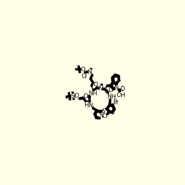 CN(CCCC[C@@H]1NC(=O)[C@H](CCCO[Si](C)(C)C(C)(C)C)NCc2cccnc2Sc2c(Cl)ccc(Br)c2CNC(=O)[C@H](Cc2cn(C(=O)O)c3ccccc23)N(C)C1=O)C(=O)OC(C)(C)C